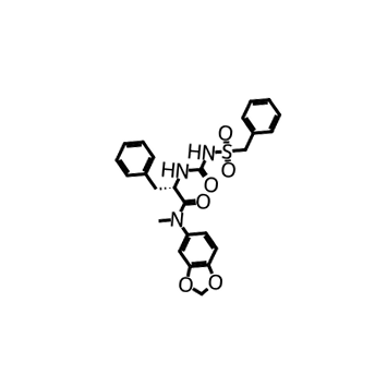 CN(C(=O)[C@H](Cc1ccccc1)NC(=O)NS(=O)(=O)Cc1ccccc1)c1ccc2c(c1)OCO2